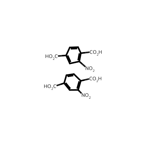 O=C(O)c1ccc(C(=O)O)c([N+](=O)[O-])c1.O=C(O)c1ccc(C(=O)O)c([N+](=O)[O-])c1